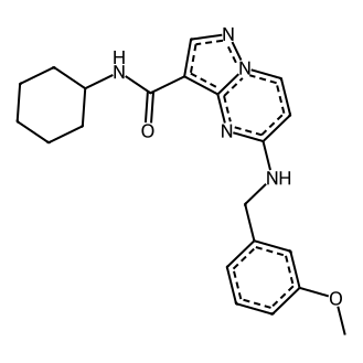 COc1cccc(CNc2ccn3ncc(C(=O)NC4CCCCC4)c3n2)c1